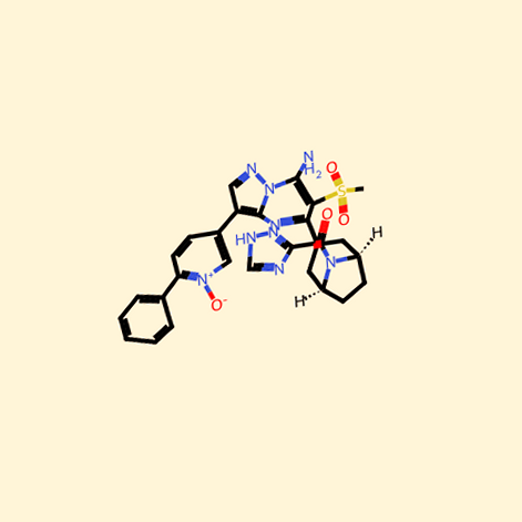 CS(=O)(=O)c1c(C2C[C@H]3CC[C@@H](C2)N3C(=O)c2nc[nH]n2)nc2c(-c3ccc(-c4ccccc4)[n+]([O-])c3)cnn2c1N